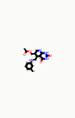 CC(=O)OCc1cnc2[nH]c(=O)[nH]c(=O)c2c1CNc1cccc(C)c1